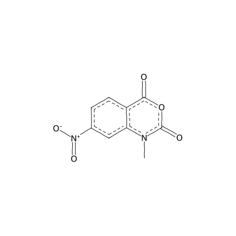 Cn1c(=O)oc(=O)c2ccc([N+](=O)[O-])cc21